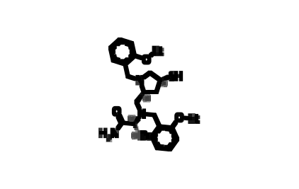 CCOc1ccccc1CN1C[C@@H](S)C[C@H]1CN(Cc1ccccc1OCC)[C@H](C(N)=O)[C@@H](C)CC